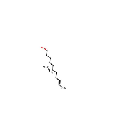 CC(=O)O.CCCC/C=C/CCCCCCCCO